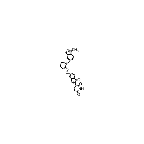 Cn1nnc2cc(CN3CCCC[C@H]3COc3ccc4c(c3)CN(C3CCC(=O)NC3=O)C4=O)ccc21